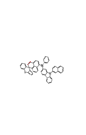 c1ccc(N(c2ccc3c4ccccc4n(-c4ccc5ccccc5c4)c3c2)c2ccc3c4c(cccc24)C2(c4ccccc4Sc4ccccc42)c2ccccc2-3)cc1